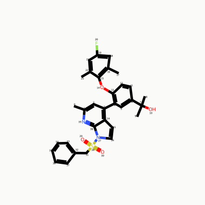 Cc1cc(-c2cc(C(C)(C)O)ccc2Oc2c(C)cc(F)cc2C)c2ccn(S(=O)(=O)Cc3ccccc3)c2n1